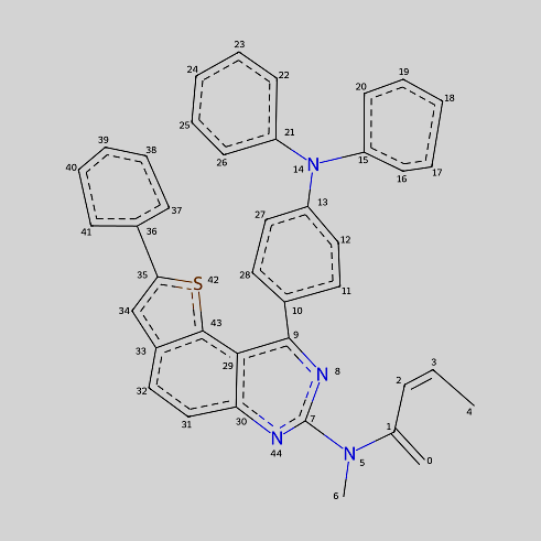 C=C(/C=C\C)N(C)c1nc(-c2ccc(N(c3ccccc3)c3ccccc3)cc2)c2c(ccc3cc(-c4ccccc4)sc32)n1